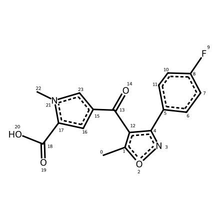 Cc1onc(-c2ccc(F)cc2)c1C(=O)c1cc(C(=O)O)n(C)c1